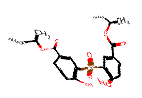 CCCCCCC(C)OC(=O)c1ccc(O)c(S(=O)(=O)c2cc(C(=O)OC(C)CCCCCC)ccc2O)c1